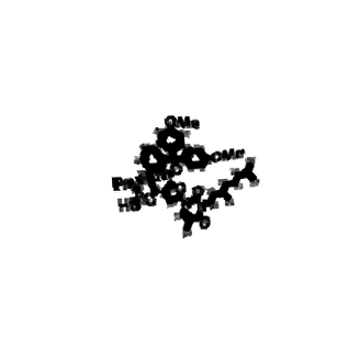 COc1ccc(C(OC[C@@H]2O[C@@H](n3cc(C)c(=O)n(C/C=C(\C)CCC=C(C)C)c3=O)C[C@@H]2C(CC#N)OP(O)N(C(C)C)C(C)C)(c2ccccc2)c2ccc(OC)cc2)cc1